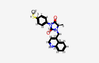 C[C@@H]1C(=O)N(c2ccc(SC(F)(F)F)cc2)C(=O)N1Cc1ccnc2ccccc12